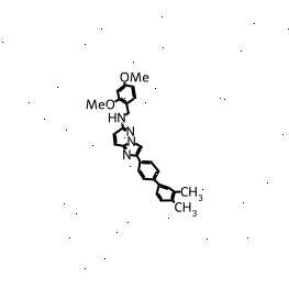 COc1ccc(CNc2ccc3nc(-c4ccc(-c5ccc(C)c(C)c5)cc4)cn3n2)c(OC)c1